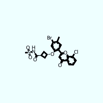 Cc1cc(-c2cc(=O)c3cccc(Cl)c3o2)c(O[C@H]2C[C@H](C(=O)NS(C)(=O)=O)C2)cc1Br